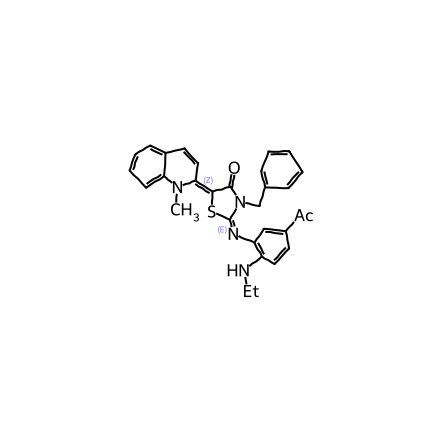 CCNc1ccc(C(C)=O)cc1/N=C1/S/C(=C2/C=Cc3ccccc3N2C)C(=O)N1Cc1ccccc1